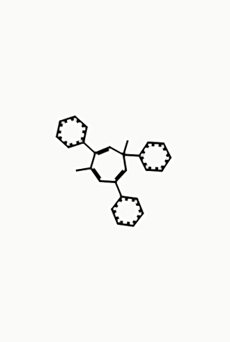 CC1=CC(c2ccccc2)=CC(C)(c2ccccc2)C=C1c1ccccc1